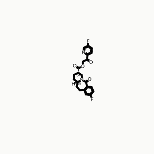 O=C(COC(=O)[C@H]1CC[C@H]2CCc3cc(F)ccc3C(=O)N2C1)c1ccc(F)cn1